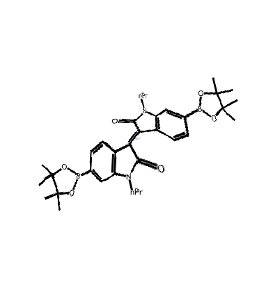 CCCN1C(=O)/C(=C2/C(=O)N(CCC)c3cc(B4OC(C)(C)C(C)(C)O4)ccc32)c2ccc(B3OC(C)(C)C(C)(C)O3)cc21